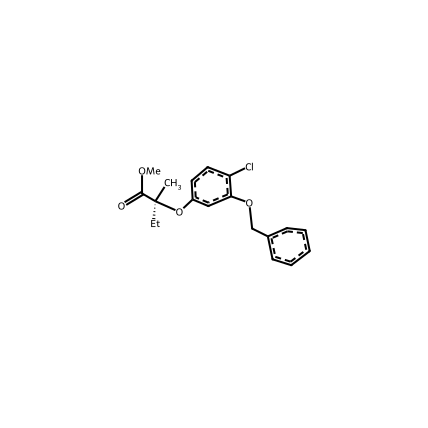 CC[C@](C)(Oc1ccc(Cl)c(OCc2ccccc2)c1)C(=O)OC